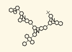 CC(C)(C)c1ccc2c(c1)c1cc(-c3ccc4cc5c(cc4c3)c3cc(-c4ccc6cc7c(cc6c4)c4cccc6c8cc(-c9cccc%10c9oc9ccccc9%10)ccc8n7c64)cc4c6cc(-c7c8ccccc8c(-c8ccccc8)c8ccccc78)ccc6n5c43)cc3c4cc5ccccc5cc4n2c13